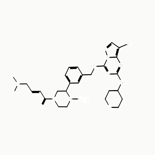 CC(C)c1cnn2c(NCc3cccc(C4CN(C(=O)C=CCN(C)C)CCN4C(=O)O)c3)nc(NC3CCOCC3)nc12